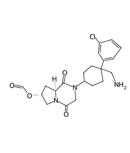 NCC1(c2cccc(Cl)c2)CCC(N2CC(=O)N3C[C@H](OC=O)C[C@H]3C2=O)CC1